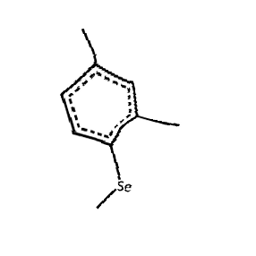 C[Se]c1ccc(C)cc1C